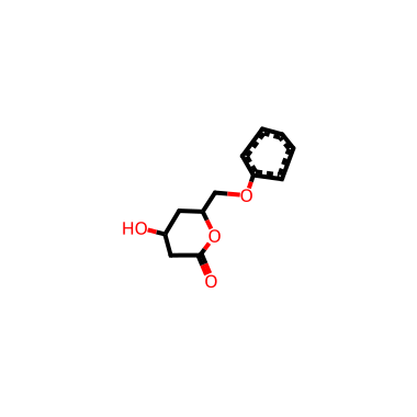 O=C1CC(O)CC(COc2ccccc2)O1